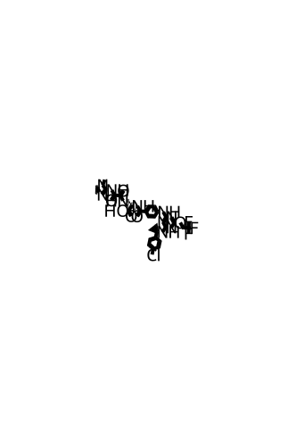 Cn1ccnc1NC(=O)C(=O)NC[C@H](NC(=O)c1ccc(Nc2nc(NC3(c4ccc(Cl)cc4)CC3)nc(OCC(F)(F)F)n2)cc1)C(=O)O